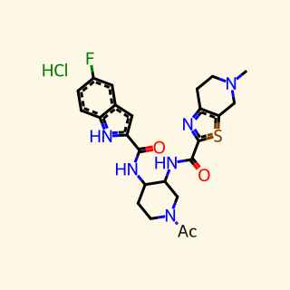 CC(=O)N1CCC(NC(=O)c2cc3cc(F)ccc3[nH]2)C(NC(=O)c2nc3c(s2)CN(C)CC3)C1.Cl